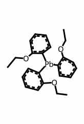 CCOc1cccc[c]1[Pb]([c]1ccccc1OCC)[c]1ccccc1OCC